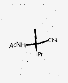 CC(=O)NC(C)(C#N)C(C)C